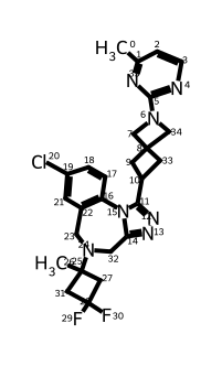 Cc1ccnc(N2CC3(CC(c4nnc5n4-c4ccc(Cl)cc4CN(C4(C)CC(F)(F)C4)C5)C3)C2)n1